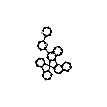 c1ccc(-c2cccc(-c3cc4c(c5ccccc35)-c3c(ccc5ccccc35)C43c4ccccc4-c4ccccc43)n2)nc1